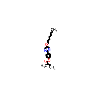 CCCCCCCCOc1cnc(-c2ccc(OC(=O)[C@@H](C)CC)cc2)nc1